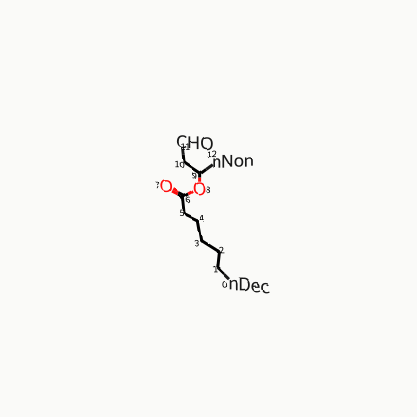 CCCCCCCCCCCCCCCC(=O)OC(CC=O)CCCCCCCCC